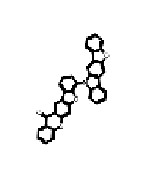 O=c1c2ccccc2sc2cc3oc4c(-n5c6ccccc6c6cc7oc8ccccc8c7cc65)cccc4c3cc12